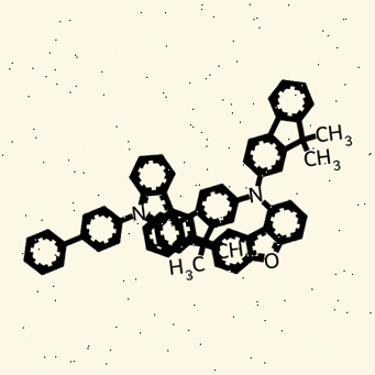 CC1(C)c2ccccc2-c2ccc(N(c3ccc4c(c3)C(C)(C)c3ccccc3-4)c3cccc4oc5ccc(-c6ccc7c(c6)c6ccccc6n7-c6ccc(-c7ccccc7)cc6)cc5c34)cc21